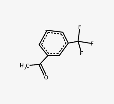 CC(=O)c1c[c]cc(C(F)(F)F)c1